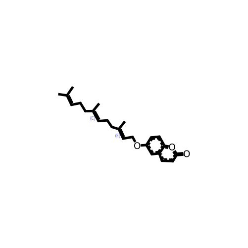 CC(C)=CCC/C(C)=C/CC/C(C)=C/COc1ccc2oc(=O)ccc2c1